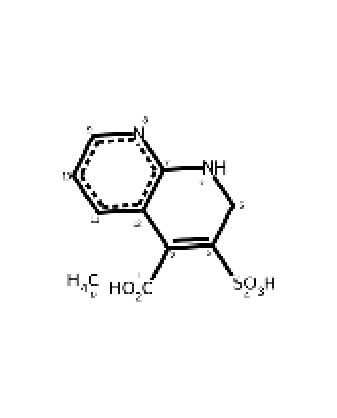 C.O=C(O)C1=C(S(=O)(=O)O)CNc2ncccc21